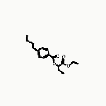 CCCCc1ccc(C(=O)OC(CC)C(=O)OCC)cc1